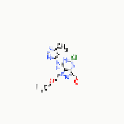 CCOCCn1nc(C=O)c2nc(Cl)nc(Nc3cc(C)ncn3)c21